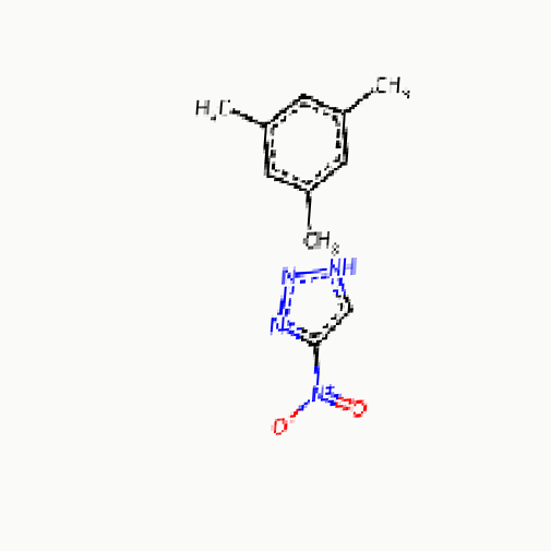 Cc1cc(C)cc(C)c1.O=[N+]([O-])c1c[nH]nn1